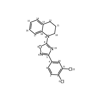 Clc1ccc(-c2noc(N3CCCc4ccccc43)n2)cc1Cl